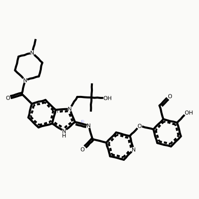 CN1CCN(C(=O)c2ccc3[nH]/c(=N\C(=O)c4ccnc(Oc5cccc(O)c5C=O)c4)n(CC(C)(C)O)c3c2)CC1